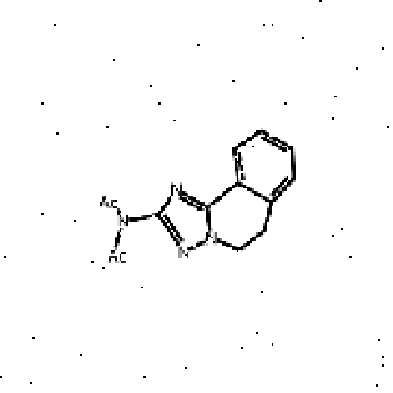 CC(=O)N(C(C)=O)c1nc2n(n1)CCc1ccccc1-2